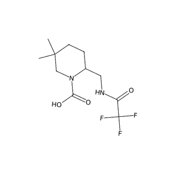 CC1(C)CCC(CNC(=O)C(F)(F)F)N(C(=O)O)C1